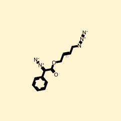 [N-]=[N+]=NC/C=C/COC(=O)C(=[N+]=[N-])c1ccccc1